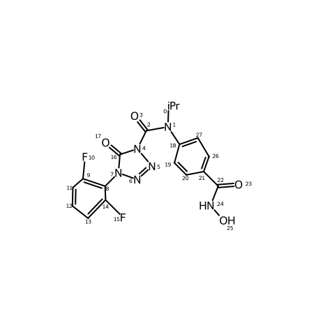 CC(C)N(C(=O)n1nnn(-c2c(F)cccc2F)c1=O)c1ccc(C(=O)NO)cc1